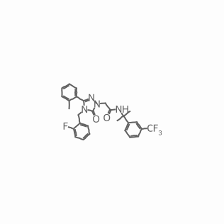 Cc1ccccc1-c1nn(CC(=O)NC(C)(C)c2cccc(C(F)(F)F)c2)c(=O)n1Cc1ccccc1F